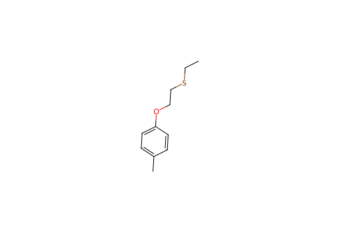 CCSCCOc1ccc(C)cc1